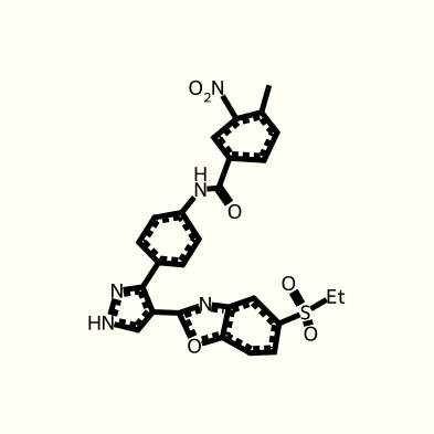 CCS(=O)(=O)c1ccc2oc(-c3c[nH]nc3-c3ccc(NC(=O)c4ccc(C)c([N+](=O)[O-])c4)cc3)nc2c1